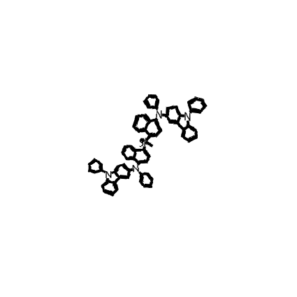 C[Si](C)(c1ccc(N(c2ccccc2)c2ccc3c(c2)c2ccccc2n3-c2ccccc2)c2ccccc12)c1ccc(N(c2ccccc2)c2ccc3c(c2)c2ccccc2n3-c2ccccc2)c2ccccc12